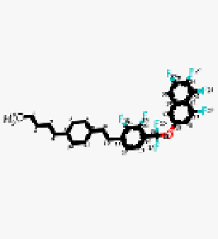 CCCCCC1CCC(CCc2ccc(C(F)(F)Oc3cc(F)c4c(F)c(F)c(F)cc4c3)c(F)c2F)CC1